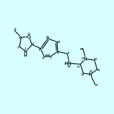 CC1CNC(c2ccc(CNC3CN(C)CCN3C)cc2)O1